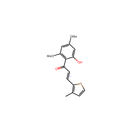 COc1cc(O)c(C(=O)/C=C/c2sccc2C)c(OC)c1